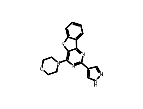 c1ccc2c(c1)sc1c(N3CCOCC3)nc(-c3cn[nH]c3)nc12